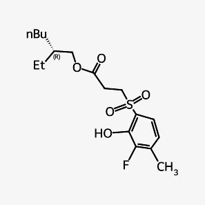 CCCC[C@@H](CC)COC(=O)CCS(=O)(=O)c1ccc(C)c(F)c1O